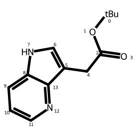 CC(C)(C)OC(=O)Cc1c[nH]c2cccnc12